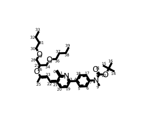 C=c1nc(-c2ccc(N(C)C(=O)OC(C)(C)C)cc2)cc/c1=C/C=C(\C)OC(COCCCC)COCCCC